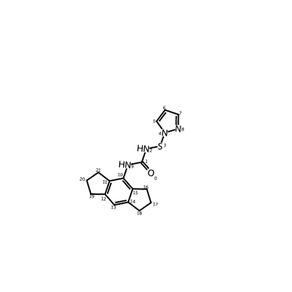 O=C(NSn1cccn1)Nc1c2c(cc3c1CCC3)CCC2